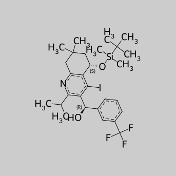 CC(C)c1nc2c(c(I)c1[C@H](O)c1cccc(C(F)(F)F)c1)[C@@H](O[Si](C)(C)C(C)(C)C)CC(C)(C)C2